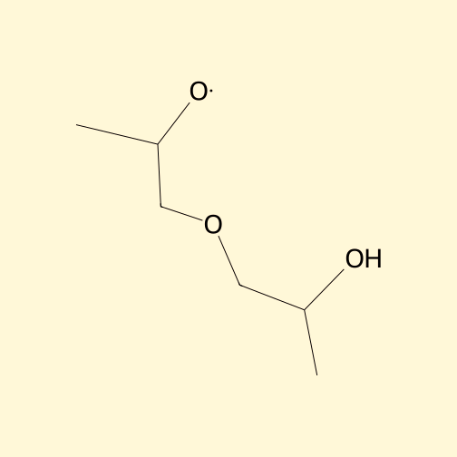 CC([O])COCC(C)O